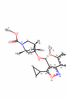 CC(C)(C)OC(=O)N1C[C@@H]2CC[C@H]1C[C@H]2OCc1c(-c2ccccc2OC(F)(F)F)noc1C1CC1